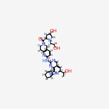 CC(O)c1cc2cnc(Nc3ccc4c(n3)CCN(C(=O)[C@H]3C[C@H](O)CN3CCO)C4)nc2c(N2C3CCC2CC3)n1